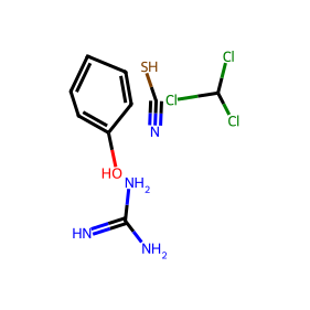 ClC(Cl)Cl.N#CS.N=C(N)N.Oc1ccccc1